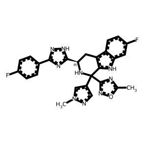 Cc1nc(C2(c3cnn(C)c3)N[C@@H](c3nc(-c4ccc(F)cc4)n[nH]3)Cc3c2[nH]c2cc(F)ccc32)no1